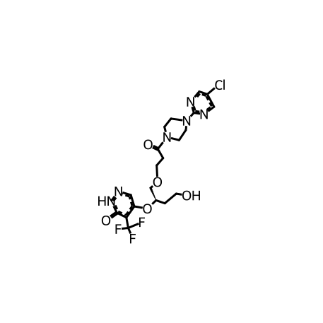 O=C(CCOC[C@@H](CCO)Oc1cn[nH]c(=O)c1C(F)(F)F)N1CCN(c2ncc(Cl)cn2)CC1